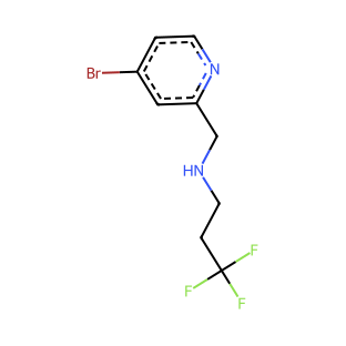 FC(F)(F)CCNCc1cc(Br)ccn1